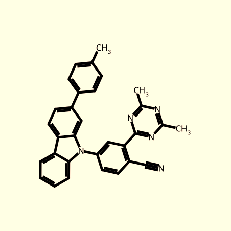 Cc1ccc(-c2ccc3c4ccccc4n(-c4ccc(C#N)c(-c5nc(C)nc(C)n5)c4)c3c2)cc1